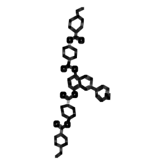 CCC1CCC(C(=O)O[C@H]2CC[C@H](C(=O)Oc3ccc(OC(=O)[C@H]4CC[C@H](OC(=O)C5CCC(CC)CC5)CC4)c4cc(-c5ccncc5)ccc34)CC2)CC1